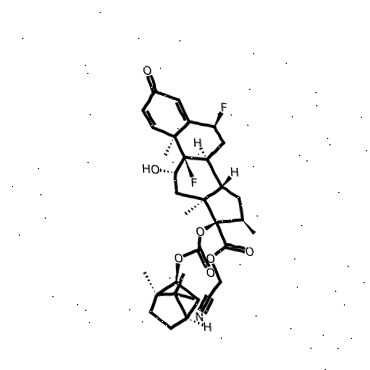 C[C@@H]1C[C@H]2[C@@H]3C[C@H](F)C4=CC(=O)C=C[C@]4(C)[C@@]3(F)[C@@H](O)C[C@]2(C)[C@@]1(OC(=O)O[C@H]1C[C@H]2CC[C@]1(C)C2(C)C)C(=O)OCC#N